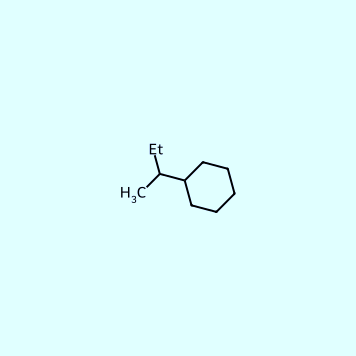 [CH2]CC(C)C1CCCCC1